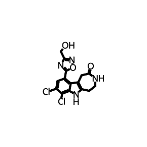 O=C1Cc2c([nH]c3c(Cl)c(Cl)cc(-c4nc(CO)no4)c23)CCN1